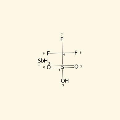 O=S(=O)(O)C(F)(F)F.[SbH3]